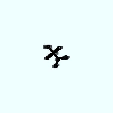 O=[N+]([O-])S(=O)(O)=S